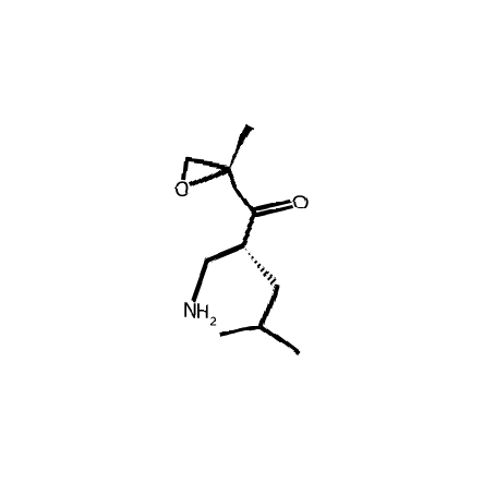 CC(C)C[C@H](CN)C(=O)[C@@]1(C)CO1